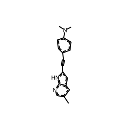 Cc1cnc2[nH]c(C#Cc3ccc(N(C)C)cc3)cc2c1